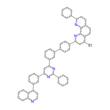 CCc1cc(-c2ccc(-c3cccc(-c4cc(-c5cccc(-c6ccnc7ccccc67)c5)nc(-c5ccccc5)n4)c3)cc2)nc2c1ccc1ccc(-c3ccccc3)nc12